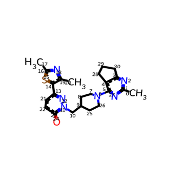 Cc1nc2c(c(N3CCC(Cn4nc(-c5sc(C)nc5C)ccc4=O)CC3)n1)CCC2